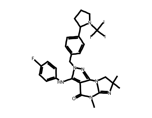 CN1C(=O)c2c(nn(Cc3ccc(C4CCCN4C(I)(I)I)cc3)c2Nc2ccc(F)cc2)N2CC(C)(C)N=C12